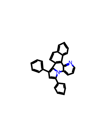 c1ccc(-c2cc(-c3ccccc3)n3c4cccnc4c4c5ccccc5ccc4c23)cc1